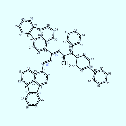 C=C(/C=C(\C=C\c1ccc2c3c(cccc13)-c1ccccc1-2)c1ccc2c3c(cccc13)-c1ccccc1-2)N(c1ccccc1)C1C=CC(c2ccccn2)=CC1